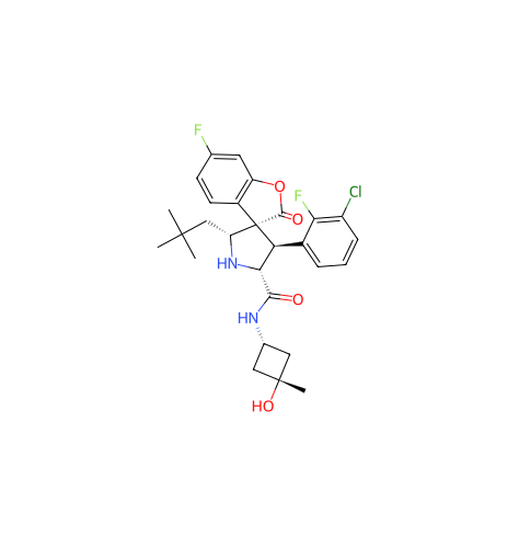 CC(C)(C)C[C@H]1N[C@@H](C(=O)N[C@H]2C[C@@](C)(O)C2)[C@H](c2cccc(Cl)c2F)[C@@]12C(=O)Oc1cc(F)ccc12